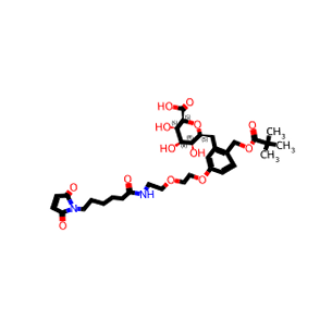 CC(C)(C)C(=O)OCc1ccc(OCCOCCNC(=O)CCCCCN2C(=O)C=CC2=O)cc1C[C@@H]1O[C@H](C(=O)O)[C@@H](O)[C@H](O)[C@H]1O